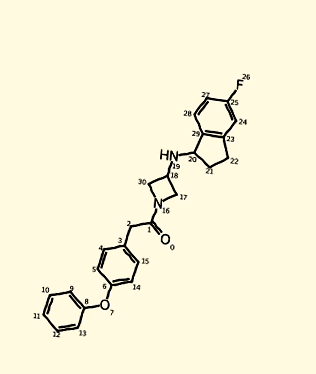 O=C(Cc1ccc(Oc2ccccc2)cc1)N1CC(NC2CCc3cc(F)ccc32)C1